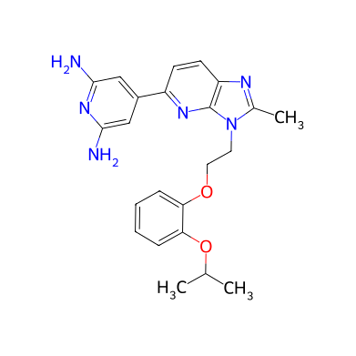 Cc1nc2ccc(-c3cc(N)nc(N)c3)nc2n1CCOc1ccccc1OC(C)C